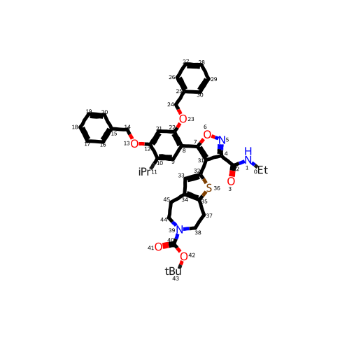 CCNC(=O)c1noc(-c2cc(C(C)C)c(OCc3ccccc3)cc2OCc2ccccc2)c1-c1cc2c(s1)CCN(C(=O)OC(C)(C)C)CC2